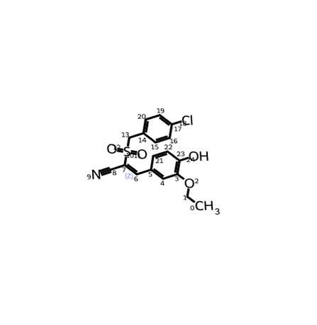 CCOc1cc(/C=C(/C#N)S(=O)(=O)Cc2ccc(Cl)cc2)ccc1O